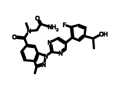 Cc1nn(-c2ncc(-c3cc(C(C)O)ccc3F)cn2)c2cc(C(=O)N(C)CC(N)=O)ccc12